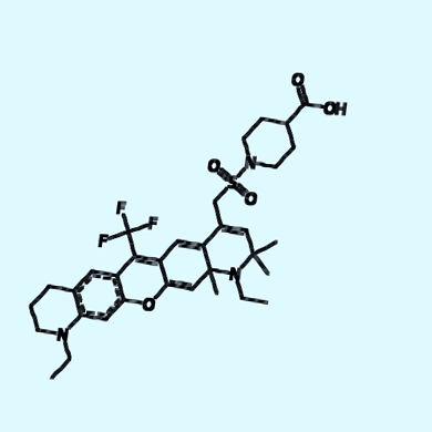 CCN1CCCc2cc3c(cc21)OC1=CC2(C)C(=CC1=C3C(F)(F)F)C(CS(=O)(=O)N1CCC(C(=O)O)CC1)=CC(C)(C)N2CC